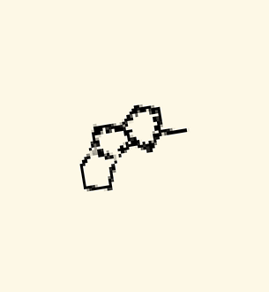 Cc1ccc2cn3[n+](c2c1)CCC3